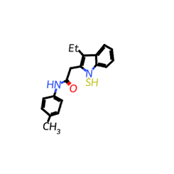 CCc1c(CC(=O)Nc2ccc(C)cc2)n(S)c2ccccc12